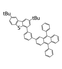 CC(C)(C)c1ccc2sc3c(-c4cccc(-c5ccc6c(-c7ccccc7)c7ccccc7c(-c7ccccc7)c6c5)c4)cc(C(C)(C)C)cc3c2c1